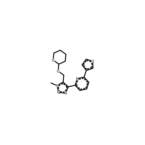 Cn1nnc(-c2cccc(-c3ccoc3)n2)c1COC1CCCCO1